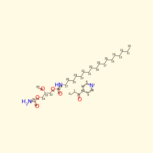 CCC(=O)c1ccncc1.CCCCCCCCCCCCCCCCCCNC(=O)OCC(COC(N)=O)OC